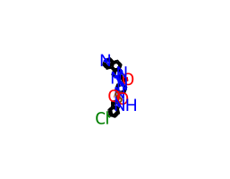 O=C(c1ncc2c(n1)CCc1cnccc1-2)N1CCN(S(=O)(=O)c2cc3cc(Cl)ccc3[nH]2)CC1